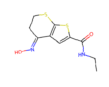 CCNC(=O)c1cc2c(s1)SCCC2=NO